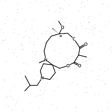 CO[C@]1(C)CCCN(C)C2(CCN(CC(C)C)CC2)COC(=O)C(C)C(=O)CC1